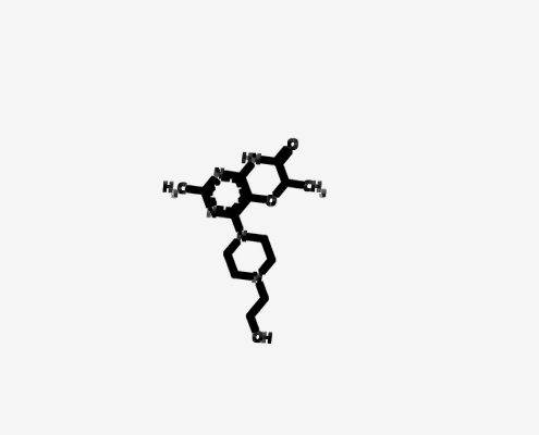 Cc1nc2c(c(N3CCN(CCO)CC3)n1)OC(C)C(=O)N2